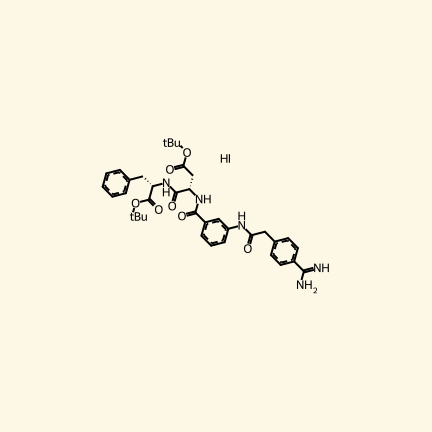 CC(C)(C)OC(=O)C[C@H](NC(=O)c1cccc(NC(=O)Cc2ccc(C(=N)N)cc2)c1)C(=O)N[C@@H](Cc1ccccc1)C(=O)OC(C)(C)C.I